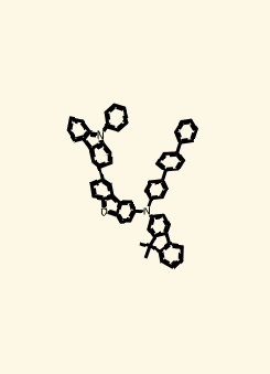 CC1(C)c2ccccc2-c2ccc(N(c3ccc(-c4ccc(-c5ccccc5)cc4)cc3)c3ccc4oc5ccc(-c6ccc7c(c6)c6ccccc6n7-c6ccccc6)cc5c4c3)cc21